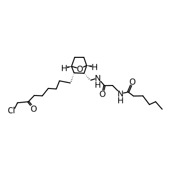 CCCCCC(=O)NCC(=O)NC[C@@H]1[C@H](CCCCCCC(=O)CCl)[C@@H]2CC[C@H]1O2